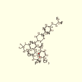 CC1(C)Cc2nc(C3CCN(c4ncc(CCC(F)F)cn4)CC3)c([C@@H](F)c3ccc(C(F)(F)F)cc3)c(C3CCC(F)(F)CC3)c2[C@@H](O)C1